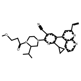 C=Cc1cc(-c2cc(C#N)c(N3CCN(C(=O)CCOC)C(C(C)C)C3)nc2C2CC2)c2cccnc2n1